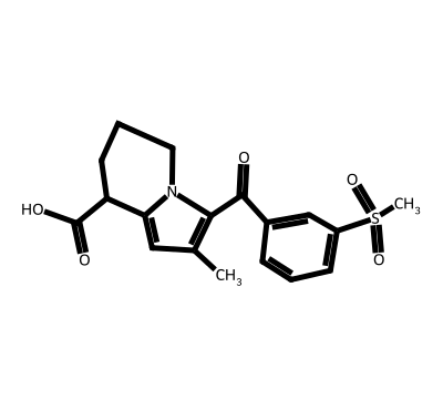 Cc1cc2n(c1C(=O)c1cccc(S(C)(=O)=O)c1)CCCC2C(=O)O